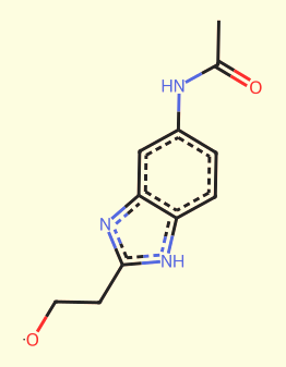 CC(=O)Nc1ccc2[nH]c(CC[O])nc2c1